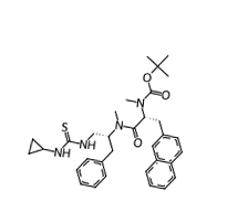 CN(C(=O)[C@@H](Cc1ccc2ccccc2c1)N(C)C(=O)OC(C)(C)C)[C@@H](CNC(=S)NC1CC1)Cc1ccccc1